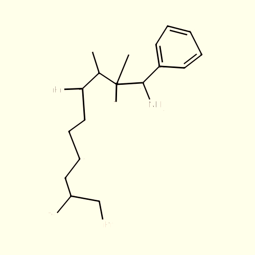 CC(C)CC(CCCCC(C(C)C)C(C)C(C)(C)C(N)c1ccccc1)C(C)C